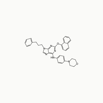 c1ccc(CCCn2cnc3c(Nc4ccc(N5CCOCC5)cc4)nc(Oc4cccc5ccccc45)nc32)cc1